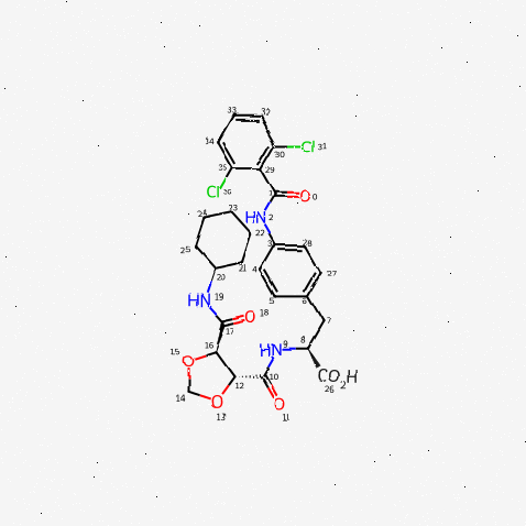 O=C(Nc1ccc(C[C@H](NC(=O)[C@@H]2OCO[C@H]2C(=O)NC2CCCCC2)C(=O)O)cc1)c1c(Cl)cccc1Cl